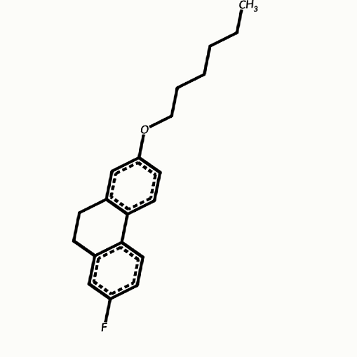 CCCCCCOc1ccc2c(c1)CCc1cc(F)ccc1-2